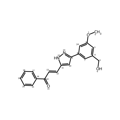 COc1cc(CO)cc(-c2cc(/C=C/C(=O)c3ccccc3)[nH]n2)c1